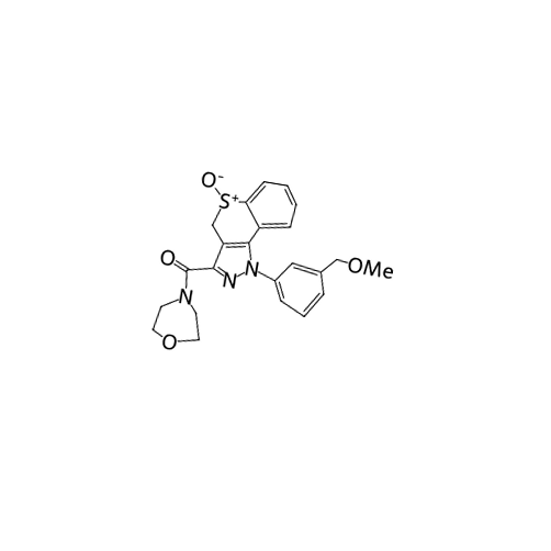 COCc1cccc(-n2nc(C(=O)N3CCOCC3)c3c2-c2ccccc2[S+]([O-])C3)c1